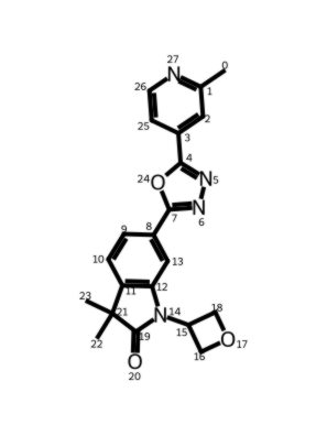 Cc1cc(-c2nnc(-c3ccc4c(c3)N(C3COC3)C(=O)C4(C)C)o2)ccn1